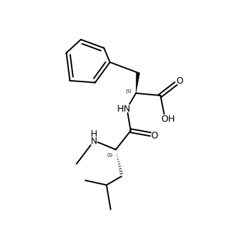 CN[C@@H](CC(C)C)C(=O)N[C@@H](Cc1ccccc1)C(=O)O